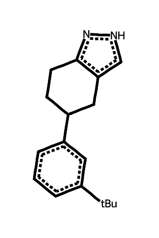 CC(C)(C)c1cccc([C]2CCc3n[nH]cc3C2)c1